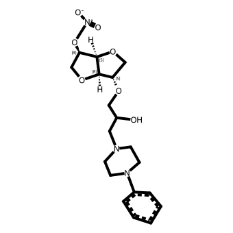 O=[N+]([O-])O[C@@H]1CO[C@H]2[C@@H]1OC[C@@H]2OCC(O)CN1CCN(c2ccccc2)CC1